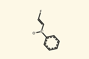 [O-][S+](C=CF)c1ccccc1